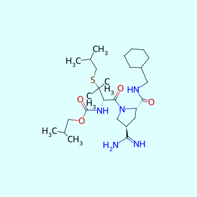 CC(C)COC(=O)N[C@@H](C(=O)N1C[C@H](C(=N)N)C[C@H]1C(=O)NCC1CCCCC1)C(C)(C)SCC(C)C